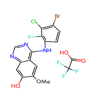 COc1cc2c(Nc3ccc(Br)c(Cl)c3F)ncnc2cc1O.O=C(O)C(F)(F)F